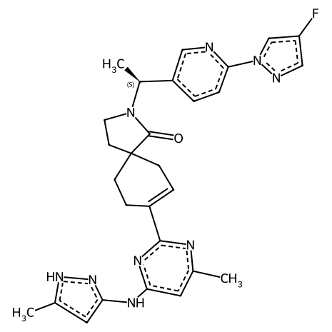 Cc1cc(Nc2cc(C)[nH]n2)nc(C2=CCC3(CC2)CCN([C@@H](C)c2ccc(-n4cc(F)cn4)nc2)C3=O)n1